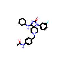 CC(=O)Nc1ccc(CN2CCC3(CC2)C(NC2CCCCC2)=NC(=O)N3c2cccc(F)c2)cc1